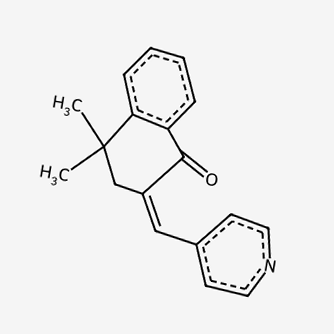 CC1(C)C/C(=C/c2ccncc2)C(=O)c2ccccc21